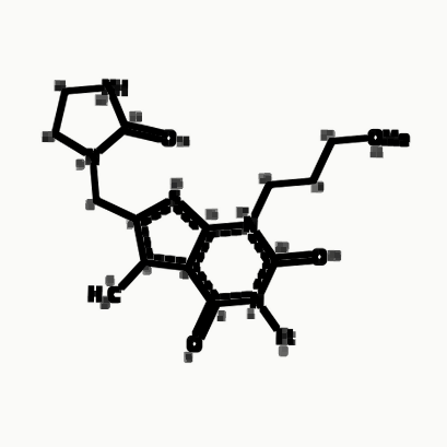 CCn1c(=O)c2c(C)c(CN3CCNC3=O)sc2n(CCCOC)c1=O